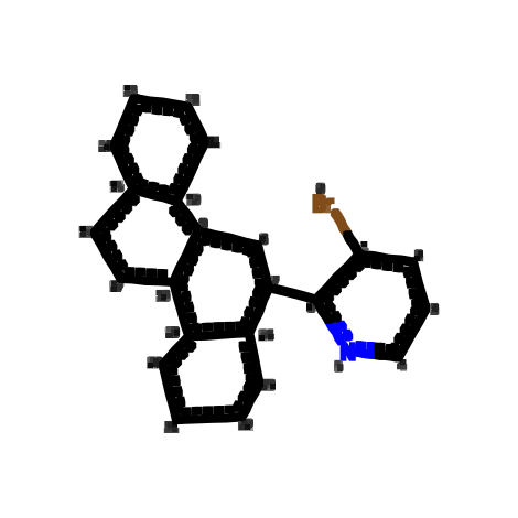 Brc1cccnc1-c1cc2c3ccccc3ccc2c2ccccc12